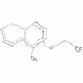 Oc1c(OCC(F)(F)F)ccc2ccccc12